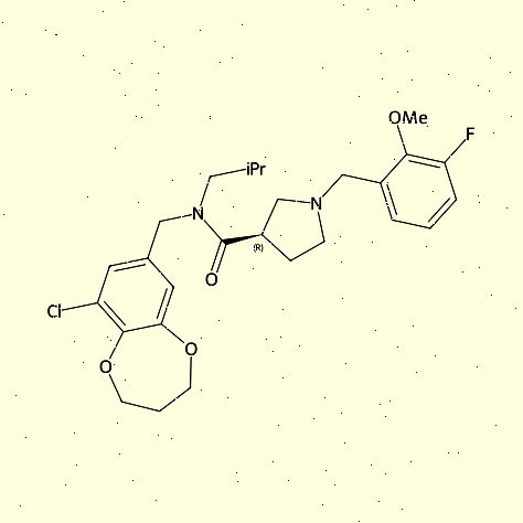 COc1c(F)cccc1CN1CC[C@@H](C(=O)N(Cc2cc(Cl)c3c(c2)OCCCO3)CC(C)C)C1